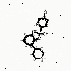 C[C@]1(c2ccc(Cl)cn2)Oc2cccc(C3CCNCC3)c2O1